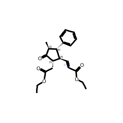 CCOC(=O)/C=C/[C@@H]1[C@@H](c2ccccc2)[C@H](C)C(=O)[C@H]1CC(=O)OCC